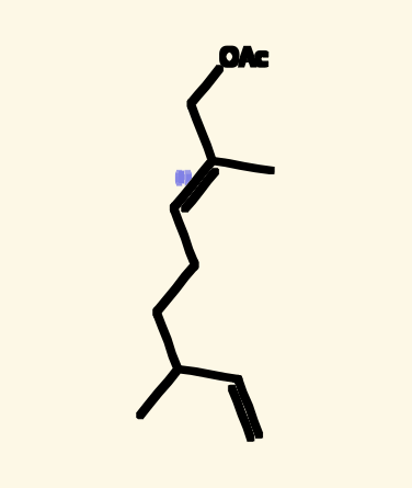 C=CC(C)CC/C=C(\C)COC(C)=O